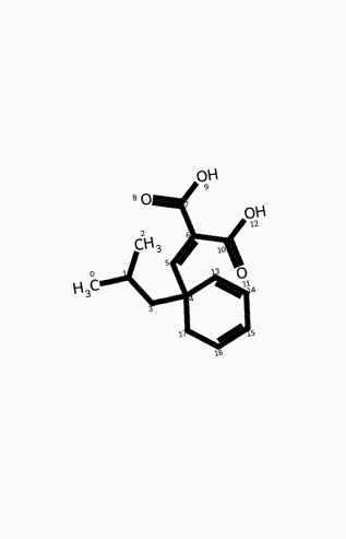 CC(C)CC1(C=C(C(=O)O)C(=O)O)C=CC=CC1